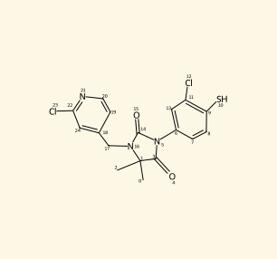 CC1(C)C(=O)N(c2ccc(S)c(Cl)c2)C(=O)N1Cc1ccnc(Cl)c1